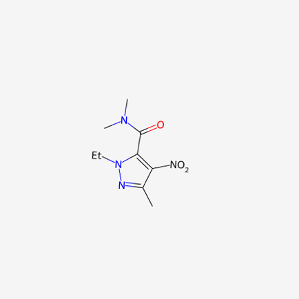 CCn1nc(C)c([N+](=O)[O-])c1C(=O)N(C)C